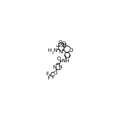 CC1(C)C(N)=N[C@]2(C)c3cc(NC(=O)c4cnc(OCC(F)(F)F)cn4)ccc3OCC[C@H]2S1(=O)=O